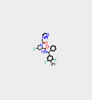 CC(C)c1c(F)cc(C(NC(=O)C2CC(F)CN2C(=O)Cn2ccnn2)c2ccccc2)cc1F